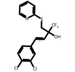 OC(/C=C/c1ccc(Cl)c(Cl)c1)(CSc1ccccn1)C(F)(F)F